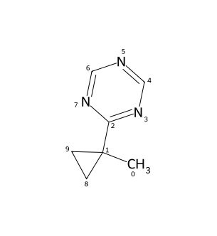 CC1(c2ncncn2)CC1